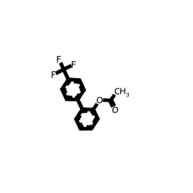 CC(=O)Oc1ccccc1-c1ccc(C(F)(F)F)cc1